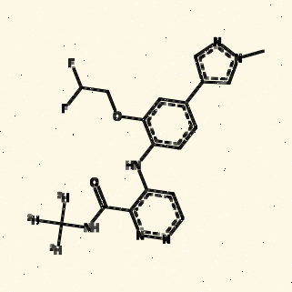 [2H]C([2H])([2H])NC(=O)c1nnccc1Nc1ccc(-c2cnn(C)c2)cc1OCC(F)F